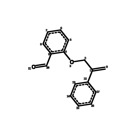 C=C(COc1ccccc1C=O)c1ccccc1